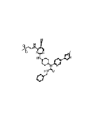 Cn1cc(-c2ccc(N(C(=O)NCc3ccccc3)C3CCC(Nc4ncc(C#N)c(NCCS(C)(=O)=O)n4)CC3)nc2)cn1